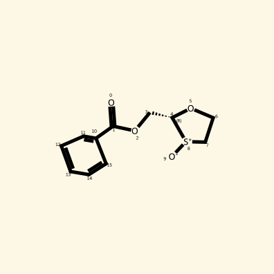 O=C(OC[C@@H]1OCC[S+]1[O-])c1ccccc1